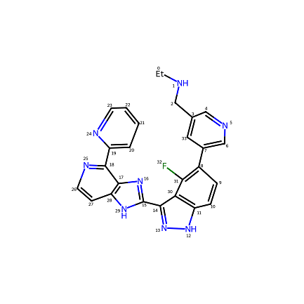 CCNCc1cncc(-c2ccc3[nH]nc(-c4nc5c(-c6ccccn6)nccc5[nH]4)c3c2F)c1